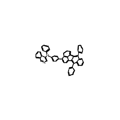 c1ccc(-c2c3c(c(-c4ccccc4)c4ccccc24)-c2ccc(-c4ccc(N(c5ccccc5)c5cncc6ccccc56)cc4)c4cccc-3c24)cc1